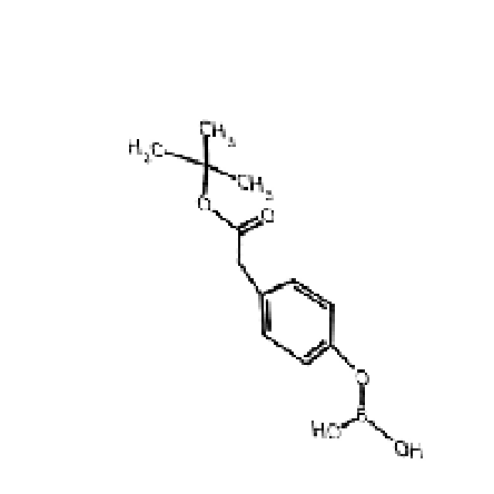 CC(C)(C)OC(=O)Cc1ccc(OB(O)O)cc1